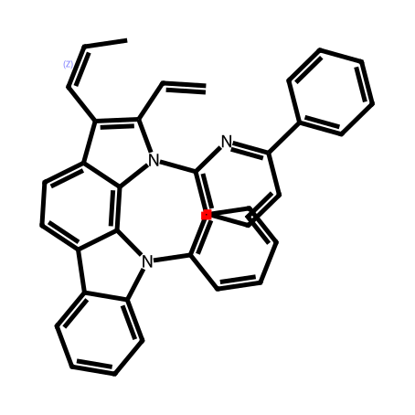 C=Cc1c(/C=C\C)c2ccc3c4ccccc4n(-c4ccccc4)c3c2n1-c1cccc(-c2ccccc2)n1